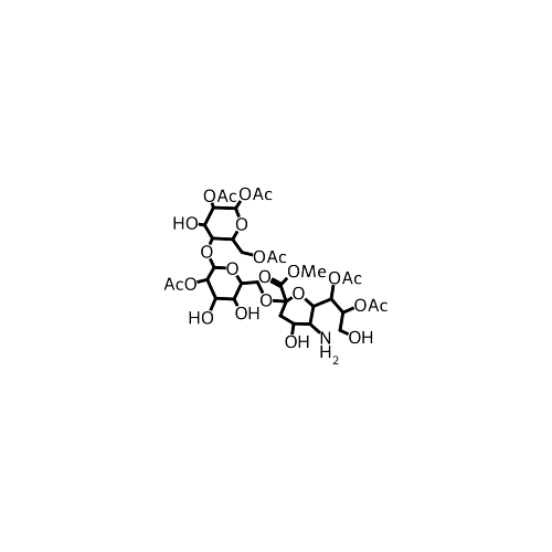 COC(=O)C1(OCC2OC(OC3C(COC(C)=O)OC(OC(C)=O)C(OC(C)=O)C3O)C(OC(C)=O)C(O)C2O)CC(O)C(N)C(C(OC(C)=O)C(CO)OC(C)=O)O1